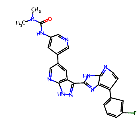 CN(C)C(=O)Nc1cncc(-c2cnc3[nH]nc(-c4nc5c(-c6cccc(F)c6)ccnc5[nH]4)c3c2)c1